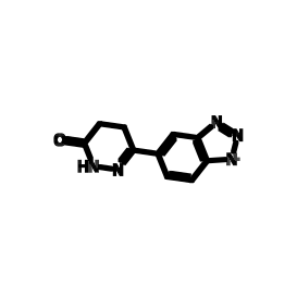 O=C1CCC(c2ccc3c(c2)N=N[N]3)=NN1